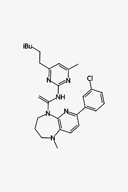 C=C(Nc1nc(C)cc(CCC(C)CC)n1)N1CCCN(C)c2ccc(-c3cccc(Cl)c3)nc21